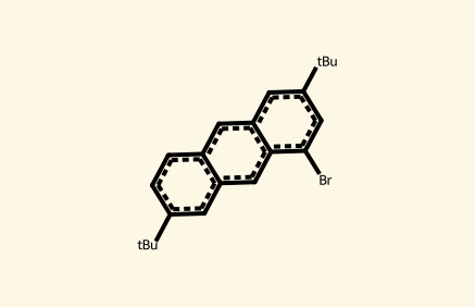 CC(C)(C)c1ccc2cc3cc(C(C)(C)C)cc(Br)c3cc2c1